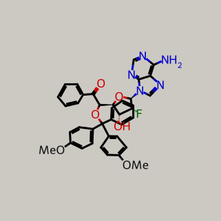 COc1ccc(C(OC(C(=O)c2ccccc2)[C@H]2O[C@@H](n3cnc4c(N)ncnc43)[C@H](F)[C@@H]2O)(c2ccccc2)c2ccc(OC)cc2)cc1